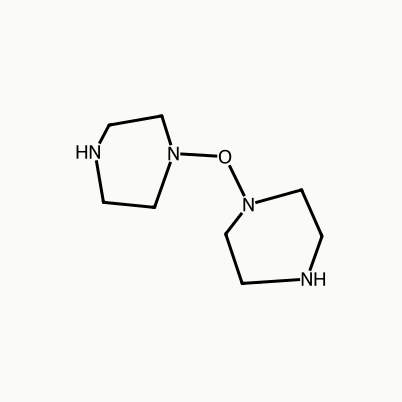 C1CN(ON2CCNCC2)CCN1